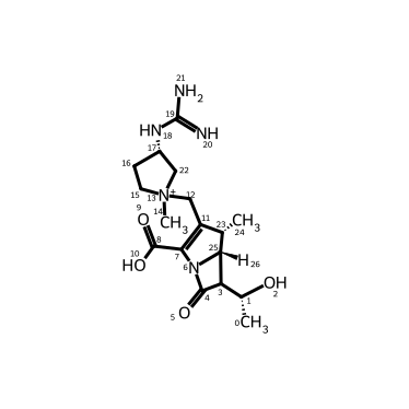 C[C@@H](O)C1C(=O)N2C(C(=O)O)=C(C[N+]3(C)CC[C@H](NC(=N)N)C3)[C@H](C)[C@H]12